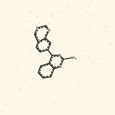 Nc1nc(-c2ccc3cncnc3c2)c2ccccc2n1